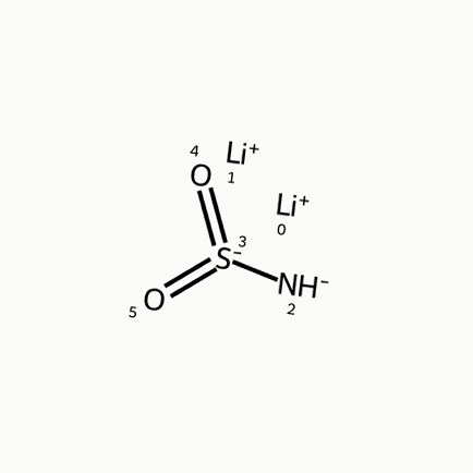 [Li+].[Li+].[NH-][S-](=O)=O